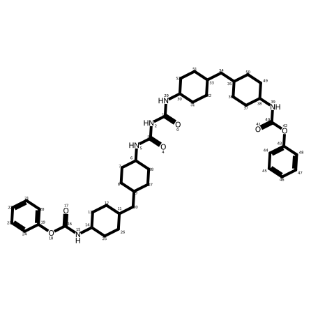 O=C(NC(=O)NC1CCC(CC2CCC(NC(=O)Oc3ccccc3)CC2)CC1)NC1CCC(CC2CCC(NC(=O)Oc3ccccc3)CC2)CC1